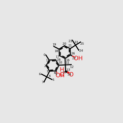 Cc1cc(C(C)(C)C)c(O)c(C(C)(C(=O)O)c2cc(C)cc(C(C)(C)C)c2O)c1